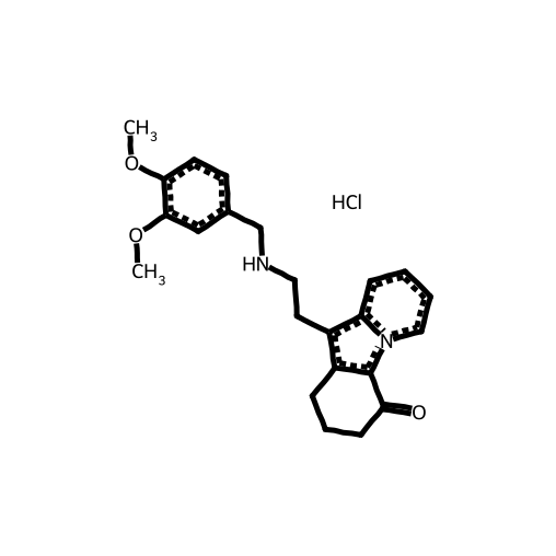 COc1ccc(CNCCc2c3c(n4ccccc24)C(=O)CCC3)cc1OC.Cl